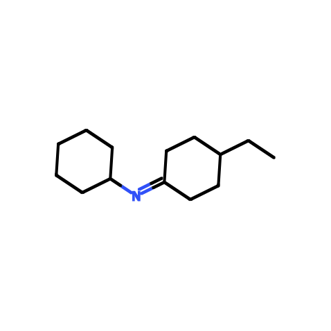 CCC1CCC(=NC2CCCCC2)CC1